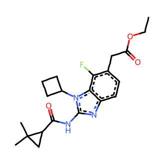 CCOC(=O)Cc1ccc2nc(NC(=O)C3CC3(C)C)n(C3CCC3)c2c1F